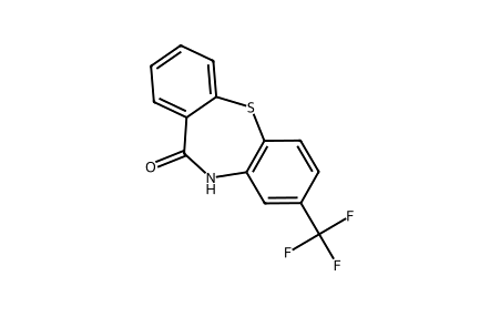 O=C1Nc2cc(C(F)(F)F)ccc2Sc2ccccc21